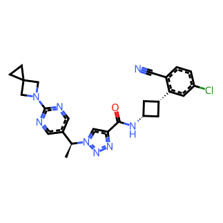 C[C@@H](c1cnc(N2CC3(CC3)C2)nc1)n1cc(C(=O)N[C@H]2C[C@@H](c3cc(Cl)ccc3C#N)C2)nn1